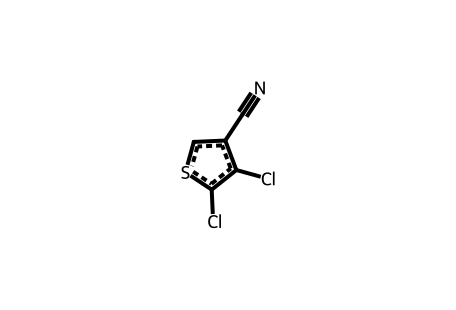 N#Cc1csc(Cl)c1Cl